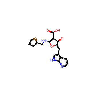 O=C(O)C1=C(NCc2cccs2)O/C(=C\c2c[nH]c3ncccc23)C1=O